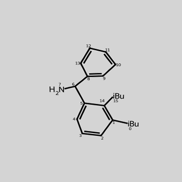 CCC(C)c1cccc(C(N)c2ccccc2)c1C(C)CC